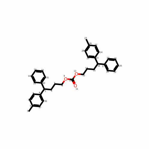 Cc1ccc(C(CCCOC(=O)OCCCC(c2ccccc2)c2ccc(C)cc2)c2ccccc2)cc1